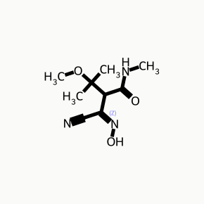 CNC(=O)C(/C(C#N)=N/O)C(C)(C)OC